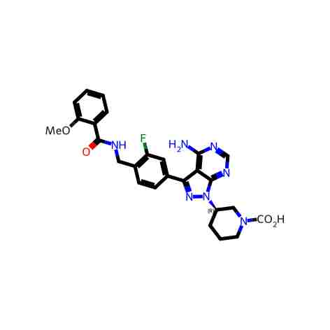 COc1ccccc1C(=O)NCc1ccc(-c2nn([C@@H]3CCCN(C(=O)O)C3)c3ncnc(N)c23)cc1F